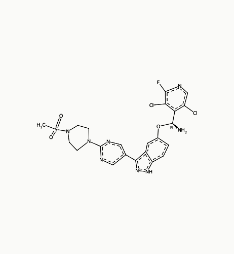 CS(=O)(=O)N1CCN(c2ncc(-c3n[nH]c4ccc(O[C@H](N)c5c(Cl)cnc(F)c5Cl)cc34)cn2)CC1